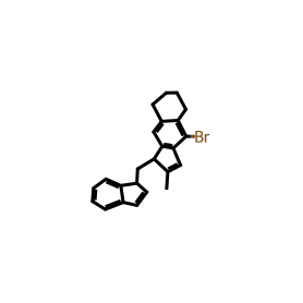 CC1=Cc2c(cc3c(c2Br)CCCC3)C1CC1C=Cc2ccccc21